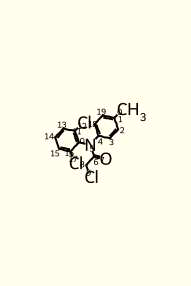 Cc1ccc(N(C(=O)CCl)c2c(Cl)cccc2Cl)cc1